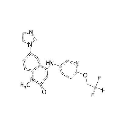 Cn1c(=O)cc(Nc2ccc(OCC(F)(F)F)nc2)c2cc(-n3ccnc3)ccc21